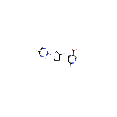 O=C(O)c1cnc(Cl)cc1NC1CCN(c2ncc(F)cn2)C1